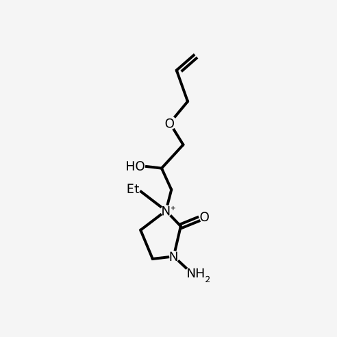 C=CCOCC(O)C[N+]1(CC)CCN(N)C1=O